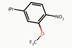 C[C](C)c1ccc([N+](=O)[O-])c(OC(F)(F)F)c1